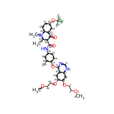 COCCOc1cc2ncnc(Oc3ccc(NC(=O)c4c(C)n(C)c5ccc(OC(F)(F)F)cc5c4=O)cc3F)c2cc1OCCOC